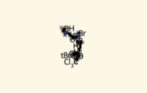 C/C(Br)=C\[C@H](Cc1nc(CCC[C@@H](NC(=O)OC(C)(C)C)C(=O)OCC(Cl)(Cl)Cl)cs1)OC(=O)C#C/C=C(\C)C[C@H](C)O